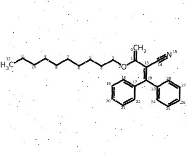 C=C(OCCCCCCCCCC)C(C#N)=C(c1ccccc1)c1ccccc1